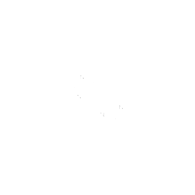 c1cc2nsnc2c2nsnc12